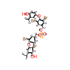 CC(C)c1cc(Oc2c(Br)cc(CO[PH](=O)OCc3cc(Br)c(Oc4ccc(O)c(C(C)C)c4)c(Br)c3)cc2Br)ccc1O